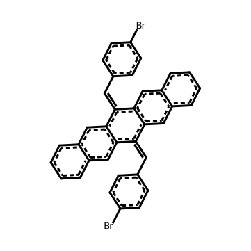 Brc1ccc(C=c2c3cc4ccccc4cc3c(=Cc3ccc(Br)cc3)c3cc4ccccc4cc23)cc1